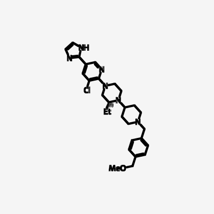 CC[C@H]1CN(c2ncc(-c3ncc[nH]3)cc2Cl)CCN1C1CCN(Cc2ccc(COC)cc2)CC1